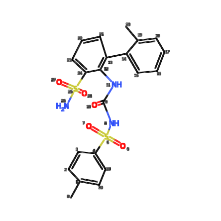 Cc1ccc(S(=O)(=O)NC(=O)Nc2c(-c3ccccc3C)cccc2S(N)(=O)=O)cc1